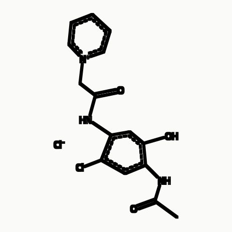 CC(=O)Nc1cc(Cl)c(NC(=O)C[n+]2ccccc2)cc1O.[Cl-]